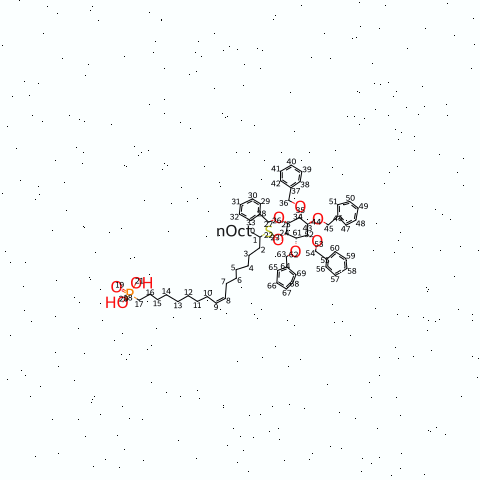 CCCCCCCCC(CCCCCC/C=C\CCCCCCCCP(=O)(O)O)SO[C@@H]1[C@@H](OCc2ccccc2)[C@H](OCc2ccccc2)[C@@H](OCc2ccccc2)[C@H](OCc2ccccc2)[C@@H]1OCc1ccccc1